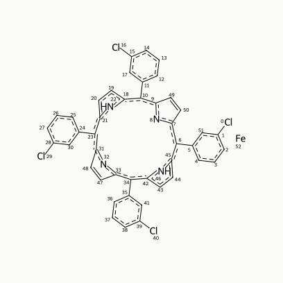 Clc1cccc(-c2c3nc(c(-c4cccc(Cl)c4)c4ccc([nH]4)c(-c4cccc(Cl)c4)c4nc(c(-c5cccc(Cl)c5)c5ccc2[nH]5)C=C4)C=C3)c1.[Fe]